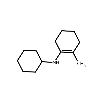 CC1=C(NC2CCCCC2)CCCC1